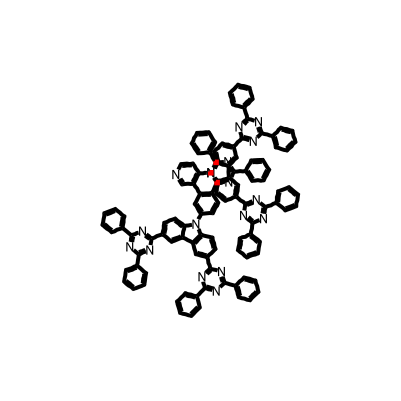 c1ccc(-c2nc(-c3ccccc3)nc(-c3ccc4c(c3)c3cc(-c5nc(-c6ccccc6)nc(-c6ccccc6)n5)ccc3n4-c3ccc(-c4nc(-c5ccccc5)nc(-c5ccccc5)n4)c(-c4cnccc4-n4c5ccc(-c6nc(-c7ccccc7)nc(-c7ccccc7)n6)cc5c5cc(-c6nc(-c7ccccc7)nc(-c7ccccc7)n6)ccc54)c3)n2)cc1